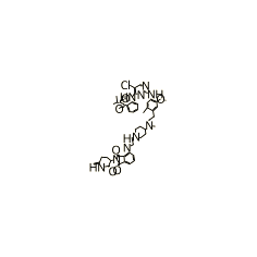 C=C1CCC(N2C(=O)c3cccc(NCCN4CCC(N(C)CCc5cc(OC)c(Nc6ncc(Cl)c(Nc7ccccc7S(=O)(=O)C(C)C)n6)cc5C)CC4)c3C2=O)C(=O)N1